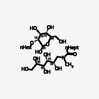 CCCCCCCC(=O)N(C)C[C@H](O)[C@@H](O)[C@H](O)[C@H](O)CO.CCCCCCO[C@@H]1[C@@H](O)[C@H](O)[C@@H](CO)O[C@H]1O